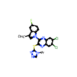 CC(C)n1cnnc1Sc1nc2cc(Cl)c(Cl)cc2nc1-n1cc(C=O)c2cc(F)ccc21